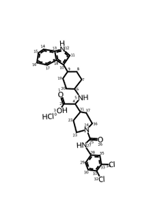 Cl.O=C(O)C(NC1CCC(c2c[nH]c3ccccc23)CC1)C1CCN(C(=O)Nc2ccc(Cl)c(Cl)c2)CC1